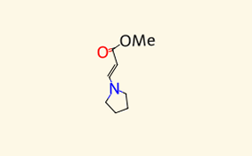 COC(=O)C=CN1CCCC1